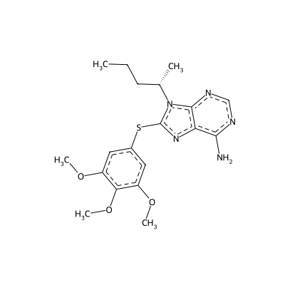 CCC[C@H](C)n1c(Sc2cc(OC)c(OC)c(OC)c2)nc2c(N)ncnc21